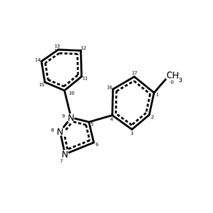 Cc1ccc(-c2cnnn2-c2cc[c]cc2)cc1